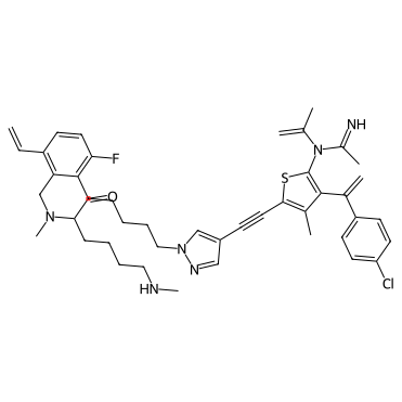 C=Cc1ccc(F)c(CCCCCn2cc(C#Cc3sc(N(C(=C)C)C(C)=N)c(C(=C)c4ccc(Cl)cc4)c3C)cn2)c1CN(C)C(C=O)CCCCNC